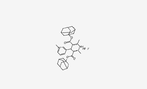 CC1=C(C(=O)OC23CC4CC(CC(C4)C2)C3)C(c2ccc[n+](C)c2)C(C(=O)OC23CC4CC(CC(C4)C2)C3)=C(C)N1.I.[I-]